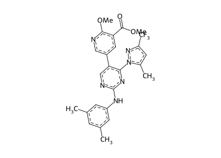 COC(=O)c1cc(-c2cnc(Nc3cc(C)cc(C)c3)nc2-n2nc(C(F)(F)F)cc2C)cnc1OC